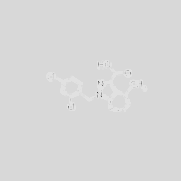 Cc1cccc2c1c(C(=O)O)nn2Cc1ccc(Cl)cc1Cl